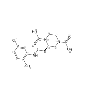 Cc1ccc(Cl)cc1NCC[C@@H]1CN(C(=O)O)CCN1C(=O)O